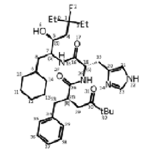 CCC(F)(CC)C[C@H](O)[C@H](CC1CCCCC1)NC(=O)[C@H](Cc1c[nH]cn1)NC(=O)[C@@H](CC(=O)C(C)(C)C)Cc1ccccc1